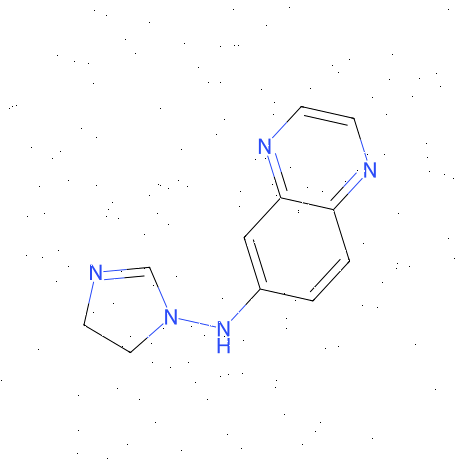 C1=NCCN1Nc1ccc2nccnc2c1